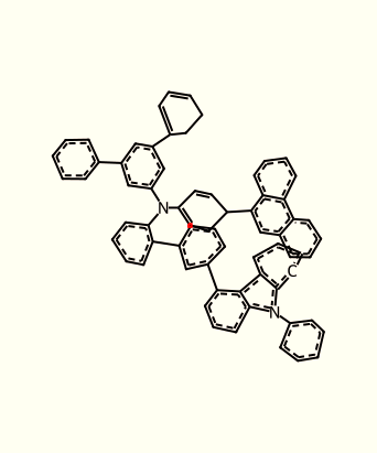 C1=CCCC(c2cc(-c3ccccc3)cc(N(C3=CCC(c4cc5ccccc5c5ccccc45)C=C3)c3ccccc3-c3cccc(-c4cccc5c4c4ccccc4n5-c4ccccc4)c3)c2)=C1